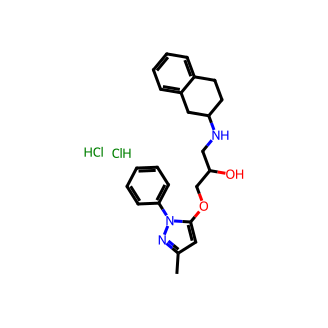 Cc1cc(OCC(O)CNC2CCc3ccccc3C2)n(-c2ccccc2)n1.Cl.Cl